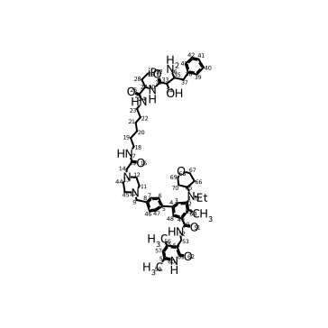 CCN(c1cc(-c2ccc(CN3CCN(CC(=O)NCCCCCCNC(=O)C(CC(C)C)NC(=O)C(O)C(N)Cc4ccccc4)CC3)cc2)cc(C(=O)NCc2c(C)cc(C)[nH]c2=O)c1C)C1CCOCC1